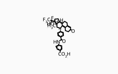 C[C@]12C[C@H](c3ccc(C(=O)Nc4ccc(C(=O)O)cc4)cc3)C3=C4CCC(=O)C=C4CC[C@H]3[C@@H]1CC[C@@]2(O)C(F)(F)C(F)(F)F